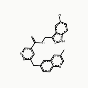 Cc1cnc2ccc(Cc3cc(C(=O)NCc4n[nH]c5ccc(Cl)cc45)cnn3)cc2c1